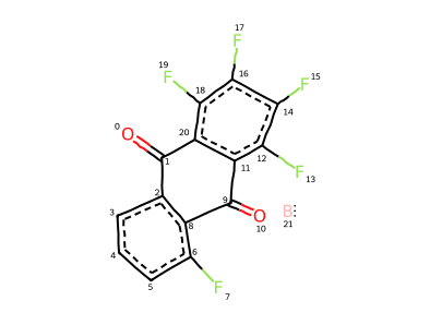 O=C1c2cccc(F)c2C(=O)c2c(F)c(F)c(F)c(F)c21.[B]